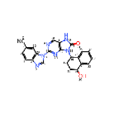 N#Cc1ccc2ncn(-c3ncc4[nH]c(=O)n([C@@H]5CCC(O)c6ccccc65)c4n3)c2c1